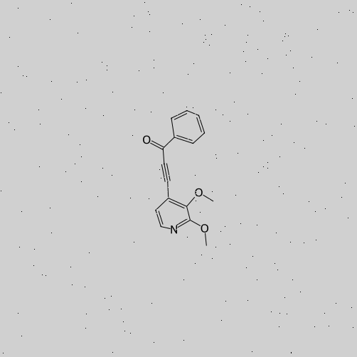 COc1nccc(C#CC(=O)c2ccccc2)c1OC